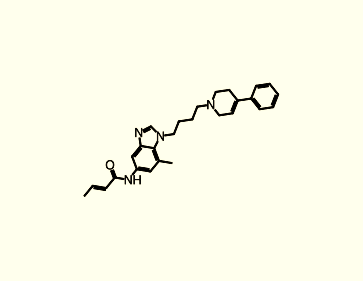 CC=CC(=O)Nc1cc(C)c2c(c1)ncn2CCCCN1CC=C(c2ccccc2)CC1